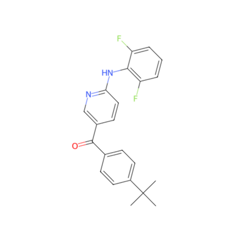 CC(C)(C)c1ccc(C(=O)c2ccc(Nc3c(F)cccc3F)nc2)cc1